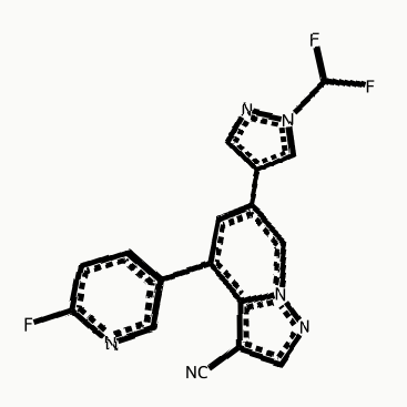 N#Cc1cnn2cc(-c3cnn(C(F)F)c3)cc(-c3ccc(F)nc3)c12